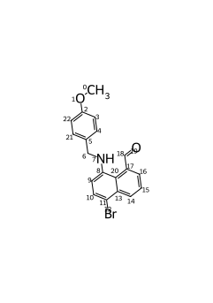 COc1ccc(CNc2ccc(Br)c3cccc(C=O)c23)cc1